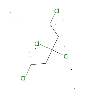 ClCCC(Cl)(Cl)CCCl